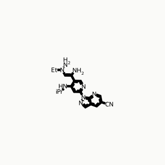 CCN(N)/C=C(\N)c1cnc(-n2ncc3cc(C#N)cnc32)cc1NC(C)C